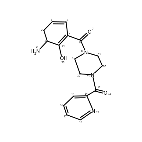 NC1CC=CC(C(=O)N2CCN(C(=O)c3ccccn3)CC2)=C1O